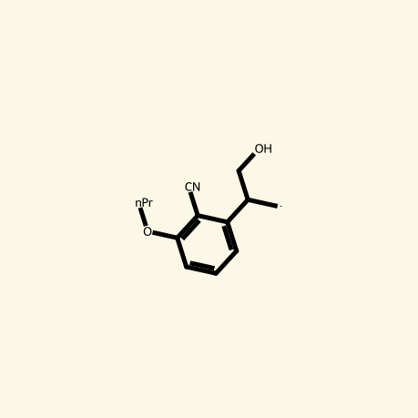 [CH2]C(CO)c1cccc(OCCC)c1C#N